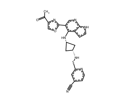 CC(=O)c1coc(-c2cnc3[nH]ccc3c2N[C@H]2C[C@@H](NSc3cc(C#N)ccn3)C2)n1